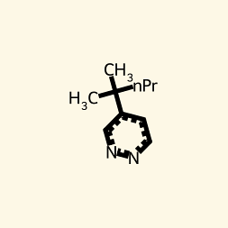 CCCC(C)(C)c1ccnnc1